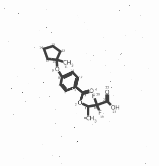 CC(OC(=O)c1ccc(OC2(C)CCCC2)cc1)C(F)(F)C(=O)O